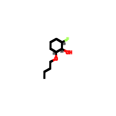 CCCCO[C@H]1CCC[C@@H](F)[C@H]1O